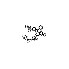 COc1cc(C)c2c(c1)C=C(c1ncc(CCC(=O)N3CCOCC3)o1)Cn1c-2c(C2CCCCC2)c2ccc(C(=O)O)cc21